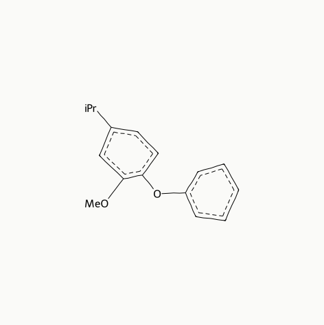 COc1cc(C(C)C)ccc1Oc1ccccc1